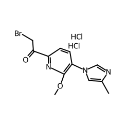 COc1nc(C(=O)CBr)ccc1-n1cnc(C)c1.Cl.Cl